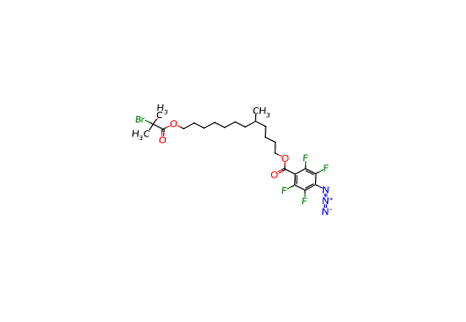 CC(CCCCCCCOC(=O)C(C)(C)Br)CCCCOC(=O)c1c(F)c(F)c(N=[N+]=[N-])c(F)c1F